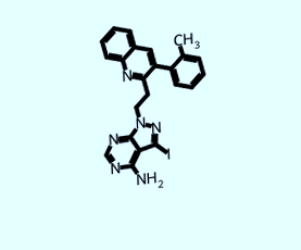 Cc1ccccc1-c1cc2ccccc2nc1CCn1nc(I)c2c(N)ncnc21